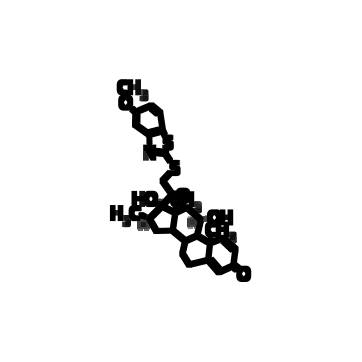 COc1ccc2sc(SCC(=O)[C@@]3(O)[C@H](C)CC4C5CCC6=CC(=O)C=CC6(C)C5[C@@H](O)CC43C)nc2c1